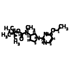 CCOc1ccnc(N2CC[C@@H](N(C)C(=O)OC(C)(C)C)C2)n1